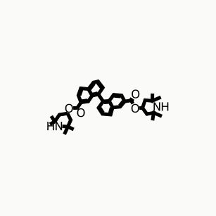 CC1(C)CC(OC(=O)c2ccc3c(-c4cccc5ccc(C(=O)OC6CC(C)(C)NC(C)(C)C6)cc45)cccc3c2)CC(C)(C)N1